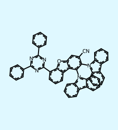 N#Cc1cc2oc3c(-c4nc(-c5ccccc5)nc(-c5ccccc5)n4)cccc3c2c(-n2c3ccccc3c3ccccc32)c1-n1c2ccccc2c2ccccc21